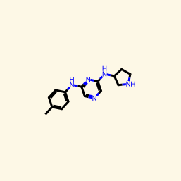 Cc1ccc(Nc2cncc(NC3CCNC3)n2)cc1